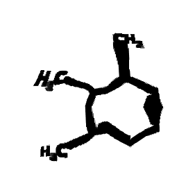 C=C1C=CC=C(C)C1C